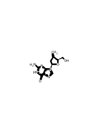 C=C1C[C@H](n2cnc3c(=O)[nH]c(N)nc32)O[C@@H]1CO